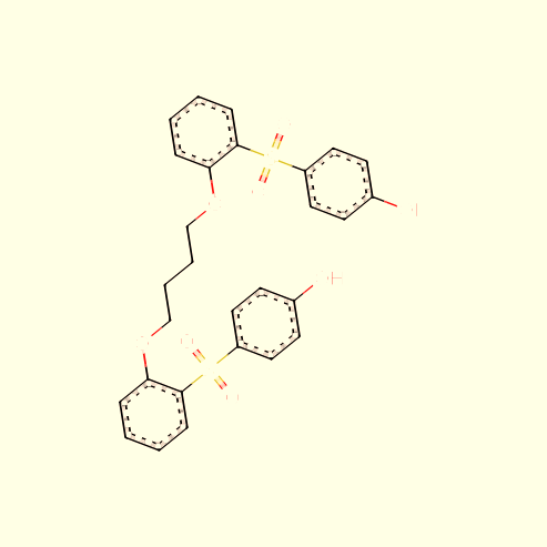 O=S(=O)(c1ccc(O)cc1)c1ccccc1OCCCCOc1ccccc1S(=O)(=O)c1ccc(O)cc1